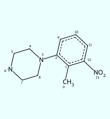 Cc1c(N2CC[N]CC2)cccc1[N+](=O)[O-]